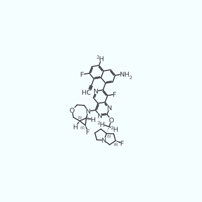 [2H]c1cc(F)c(C#C)c2c(-c3ncc4c(N5CCOC[C@H]6[C@H](F)[C@H]65)nc(OC([2H])([2H])[C@@]56CCCN5C[C@H](F)C6)nc4c3F)cc(N)cc12